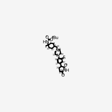 CC1(NC(=O)OC(C)(C)C)CCC(CN2CCN(c3ccc(C4CCC(=O)NC4=O)cc3F)CC2)CC1